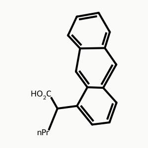 CCCC(C(=O)O)c1cccc2cc3ccccc3cc12